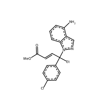 CCC(C=CC(=O)OC)(c1ccc(Cl)cc1)n1ncc2c(N)cccc21